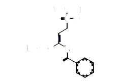 CCOC(=O)/C(=C/CP(C)(=O)OCC)NC(=O)c1ccccc1